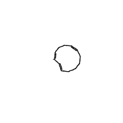 [C]1=C\CC/C=C\CCCC/C=C/1